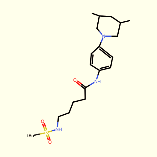 CC1CC(C)CN(c2ccc(NC(=O)CCCCNS(=O)(=O)C(C)(C)C)cc2)C1